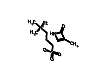 CC1=CNC1=O.CC[N+](C)(C)CCCS(=O)(=O)[O-]